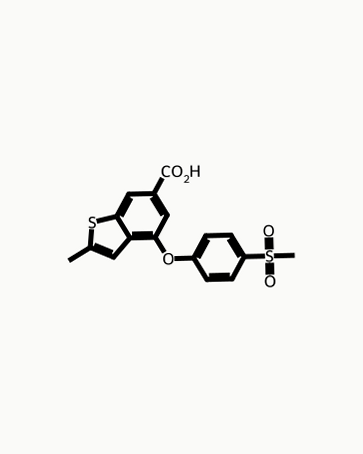 Cc1cc2c(Oc3ccc(S(C)(=O)=O)cc3)cc(C(=O)O)cc2s1